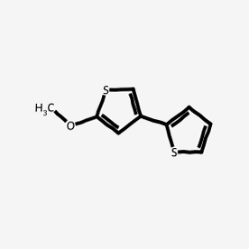 COc1cc(-c2cccs2)cs1